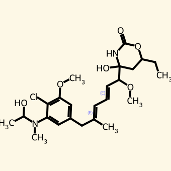 CCC1CC(O)(C(/C=C/C=C(\C)Cc2cc(OC)c(Cl)c(N(C)C(C)O)c2)OC)NC(=O)O1